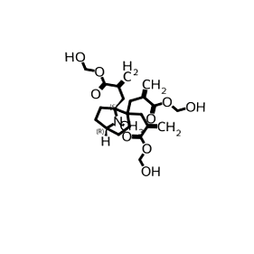 C=C(CC1(CC(=C)C(=O)OCO)CC[C@@H]2CC[C@@]1(CC(=C)C(=O)OCO)N2C)C(=O)OCO